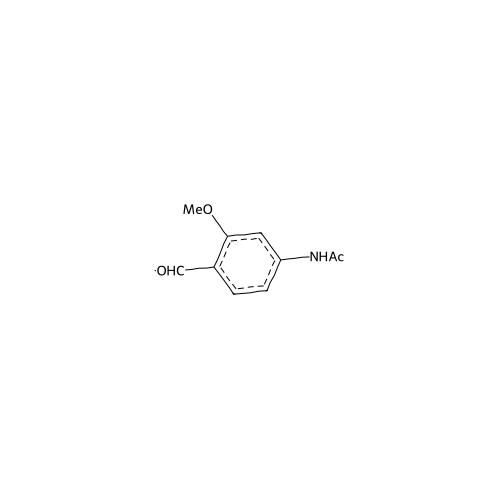 COc1cc(NC(C)=O)ccc1[C]=O